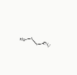 [CH2]C[C]O